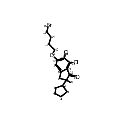 CC1(C2CCCC2)Cc2cc(OCCCCBr)c(Cl)c(Cl)c2C1=O